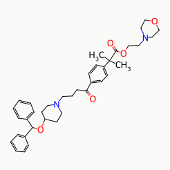 CC(C)(C(=O)OCCN1CCOCC1)c1ccc(C(=O)CCCN2CCC(OC(c3ccccc3)c3ccccc3)CC2)cc1